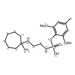 COc1cc(C)cc(OC)c1OP(=O)(O)NCCNC1(P)CCCCCC1